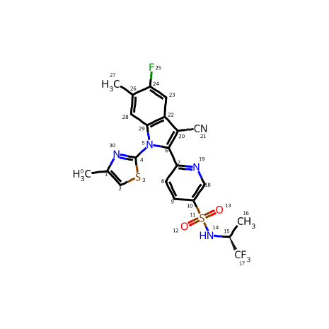 Cc1csc(-n2c(-c3ccc(S(=O)(=O)N[C@@H](C)C(F)(F)F)cn3)c(C#N)c3cc(F)c(C)cc32)n1